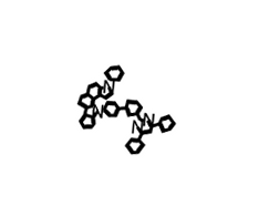 c1ccc(-c2cc(-c3ccccc3)nc(-c3cccc(-c4ccc(-n5c6ccccc6c6ccc7ccc8c(ccn8-c8ccccc8)c7c65)cc4)c3)n2)cc1